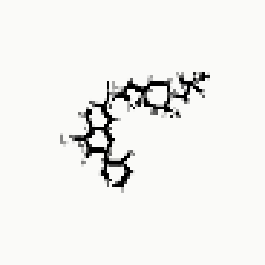 Cc1ccncc1-c1cc2cc(Nc3cc4n(n3)CC(=O)N(CC(C)(C)O)CC4)ncc2c(N)c1F